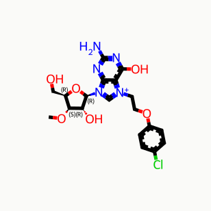 CO[C@H]1[C@@H](O)[C@H](n2c[n+](CCOc3ccc(Cl)cc3)c3c(O)nc(N)nc32)O[C@@H]1CO